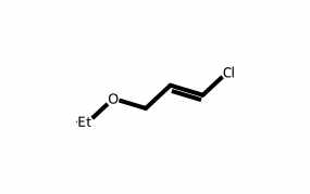 C[CH]OCC=CCl